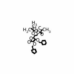 C=C(C)C(=O)OCC(OC(=O)C(=C)C)C1OC(=O)C(OCc2ccccc2)=C1OCc1ccccc1